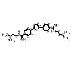 CN(C)CCNC(=N)c1ccc(-c2ccc(-c3ccc(C(=N)NCCN(C)C)cc3)o2)cc1